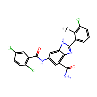 Cc1c(Cl)cccc1-c1nc2c(C(N)=O)cc(NC(=O)c3cc(Cl)ccc3Cl)cc2[nH]1